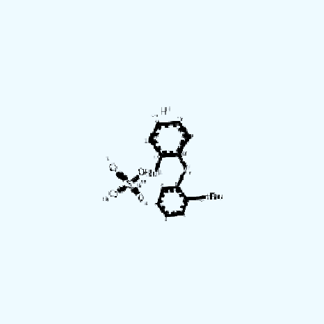 CC(C)(C)c1ccccc1[I+]c1ccccc1C(C)(C)C.O=S(=O)([O-])[O-].[H+]